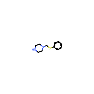 c1ccc(SCN2CCNCC2)cc1